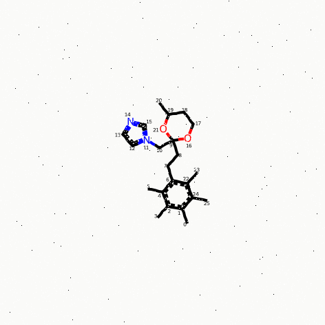 Cc1c(C)c(C)c(CCC2(Cn3ccnc3)OCCC(C)O2)c(C)c1C